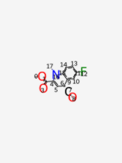 COC(=O)C1=CC(=C=O)c2cc(F)ccc2N1C